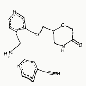 N#Cc1ccncc1.NCc1ccncc1OCC1CNC(=O)CO1